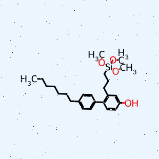 CCCCCCCc1ccc(-c2ccc(O)cc2CCC[Si](OC)(OC)OC)cc1